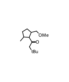 COCC1CCC(C)C1C(=O)CC(C)(C)C